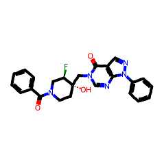 O=C(c1ccccc1)N1CC[C@](O)(Cn2cnc3c(cnn3-c3ccccc3)c2=O)[C@H](F)C1